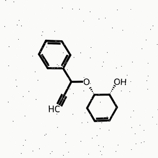 C#CC(O[C@H]1CC=CC[C@H]1O)c1ccccc1